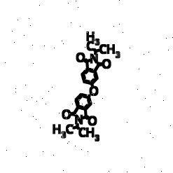 CC(C)N1C(=O)c2ccc(Oc3ccc4c(c3)C(=O)N(C(C)C)C4=O)cc2C1=O